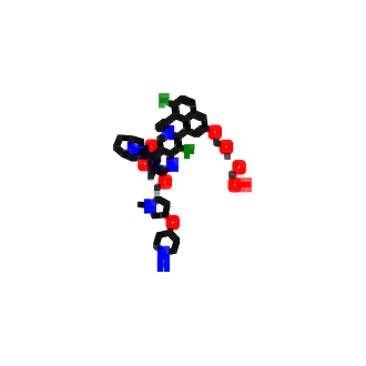 C#Cc1c(F)ccc2cc(OCOC)cc(-c3ncc4c(N5CC6CCC(C5)N6C(=O)OC(C)(C)C)nc(OC[C@@H]5C[C@@H](OC6CCNCC6)CN5C)nc4c3F)c12.O=CO